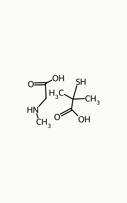 CC(C)(S)C(=O)O.CNCC(=O)O